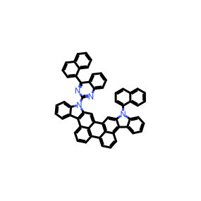 c1ccc2c(-c3nc(-n4c5ccccc5c5c6cccc7c8cccc9c8c(cc8c9c9ccccc9n8-c8cccc9ccccc89)c(cc54)c76)nc4ccccc34)cccc2c1